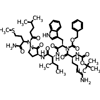 CC[C@@H](C)[C@@H](NC(=O)[C@@H](Cc1c[nH]c2ccccc12)N(C(=O)OCc1ccccc1)C(=O)[C@H](CCCCN)NC(=O)OC(C)(C)C)C(=O)N[C@H]1CCN(N(C(=O)CCC(C)C)C(CCSC)C(N)=O)C1=O